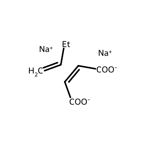 C=CCC.O=C([O-])/C=C\C(=O)[O-].[Na+].[Na+]